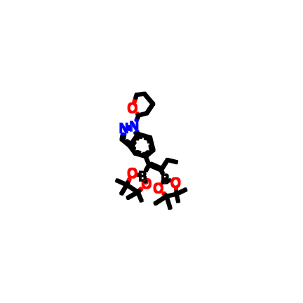 CCC(B1OC(C)(C)C(C)(C)O1)=C(B1OC(C)(C)C(C)(C)O1)c1ccc2c(cnn2C2CCCCO2)c1